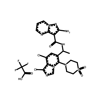 CC(NC(=O)c1c(N)nn2cccnc12)c1cc(Cl)c2c(Cl)ncn2c1N1CCS(=O)(=O)CC1.O=C(O)C(F)(F)F